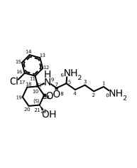 NCCCCC(N)C(=O)N[C@]1(c2ccccc2Cl)CCC[C@H](O)C1=O